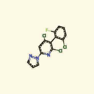 Fc1cccc(Cl)c1-c1c(Cl)cc(-n2cccn2)nc1Cl